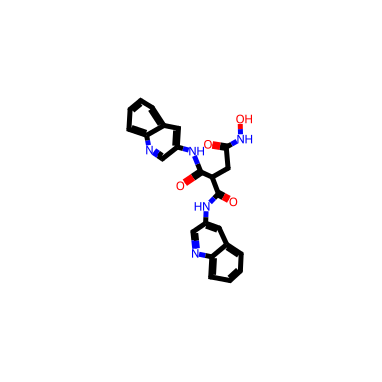 O=C(CC(C(=O)Nc1cnc2ccccc2c1)C(=O)Nc1cnc2ccccc2c1)NO